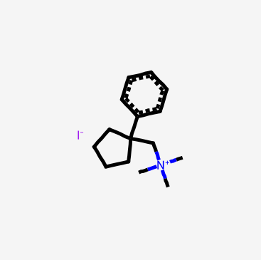 C[N+](C)(C)CC1(c2ccccc2)CCCC1.[I-]